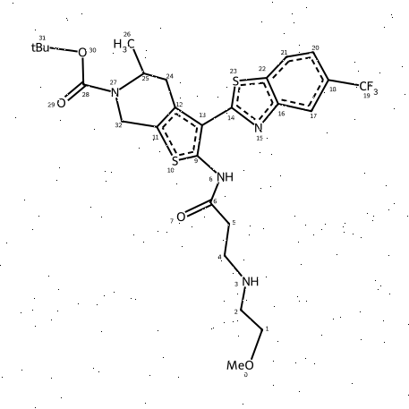 COCCNCCC(=O)Nc1sc2c(c1-c1nc3cc(C(F)(F)F)ccc3s1)CC(C)N(C(=O)OC(C)(C)C)C2